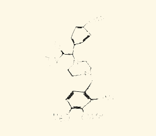 COc1ccc(C(C(N)=O)N2CCN(Cc3ccc(OC)c(OC)c3OC)CC2)cc1